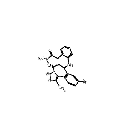 CC1=C2c3ccc(Br)cc3C(Nc3ccccc3CC(=O)N(C)C)CCN2NN1